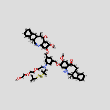 COCCOCCOCCN(CC(C)(C)SSCC(C)C)c1cc(COc2cc3c(cc2OC)C(=O)C(C)C2Cc4ccccc4C[C@H]2/C=N\3)cc(COc2cc3c(cc2OC)C(=O)CCC2c4ccccc4C[C@H]2CN3)c1